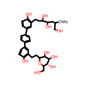 COC(CO)CC(O)C(O)CCc1cc(-c2ccc(-c3ccc(O)c(CCC4OC(CO)[C@@H](O)C(O)C4O)c3)cc2)ccc1O